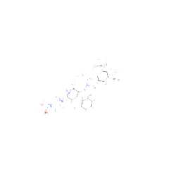 Cc1ccccc1-c1cc(N2CCN(S(C)(=O)=O)CC2)nc2c1C(=O)N(Cc1cc(C(F)(F)F)cc(C(F)(F)F)c1)CCCO2